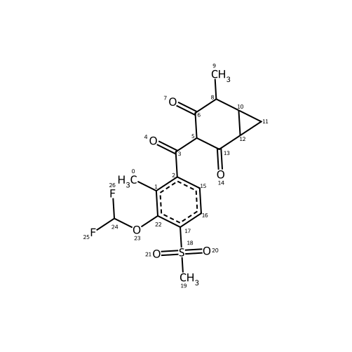 Cc1c(C(=O)C2C(=O)C(C)C3CC3C2=O)ccc(S(C)(=O)=O)c1OC(F)F